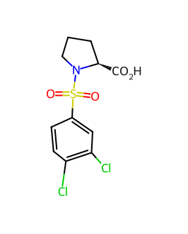 O=C(O)[C@@H]1CCCN1S(=O)(=O)c1ccc(Cl)c(Cl)c1